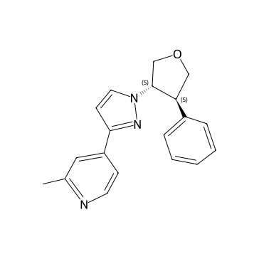 Cc1cc(-c2ccn([C@@H]3COC[C@H]3c3ccccc3)n2)ccn1